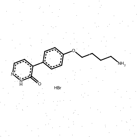 Br.NCCCCOc1ccc(-c2ccn[nH]c2=O)cc1